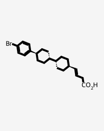 O=C(O)CC=C[C@H]1CC[C@H]([C@H]2CC[C@H](c3ccc(Br)cc3)CC2)CC1